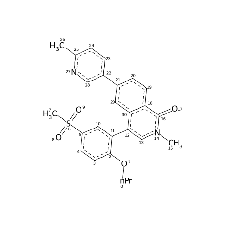 CCCOc1ccc(S(C)(=O)=O)cc1-c1cn(C)c(=O)c2ccc(-c3ccc(C)nc3)cc12